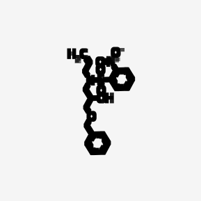 C=CCN(CC(O)COCc1ccccc1)S(=O)(=O)c1ccccc1[N+](=O)[O-]